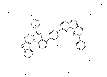 c1ccc(-c2ccc3ccc4ccc(-c5ccc(-c6cccc7c6nc(-c6ccccc6)c6ccc8sc9ccccc9c8c67)cc5)nc4c3n2)cc1